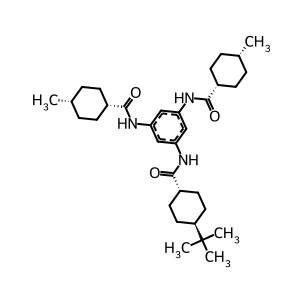 CC(C)(C)[C@H]1CC[C@H](C(=O)Nc2cc(NC(=O)[C@H]3CC[C@@H](C)CC3)cc(NC(=O)[C@H]3CC[C@@H](C)CC3)c2)CC1